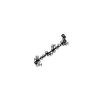 O=C(NCCCCNC(=O)NCCOCCOCCNC(=O)Nc1cccc(O[C@@H]2CCc3ccccc32)c1)NCCOCCOCCNC(=O)Nc1cccc(O)c1